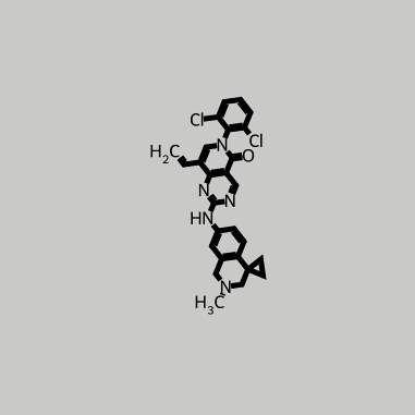 C=Cc1cn(-c2c(Cl)cccc2Cl)c(=O)c2cnc(Nc3ccc4c(c3)CN(C)CC43CC3)nc12